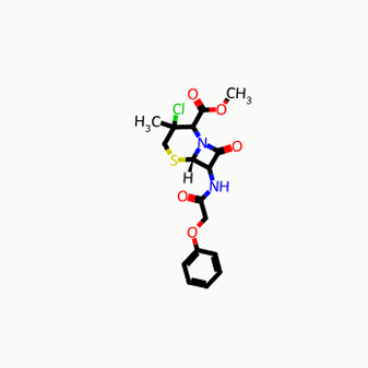 COC(=O)C1N2C(=O)C(NC(=O)COc3ccccc3)[C@@H]2SCC1(C)Cl